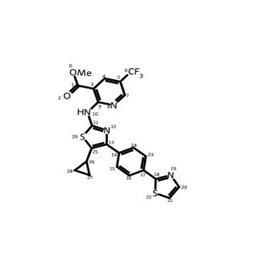 COC(=O)c1cc(C(F)(F)F)cnc1Nc1nc(-c2ccc(-c3nccs3)cc2)c(C2CC2)s1